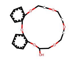 OC1COCCOCCOCCOc2ccccc2Oc2ccccc2O1